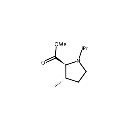 COC(=O)[C@@H]1[C@@H](C)CCN1C(C)C